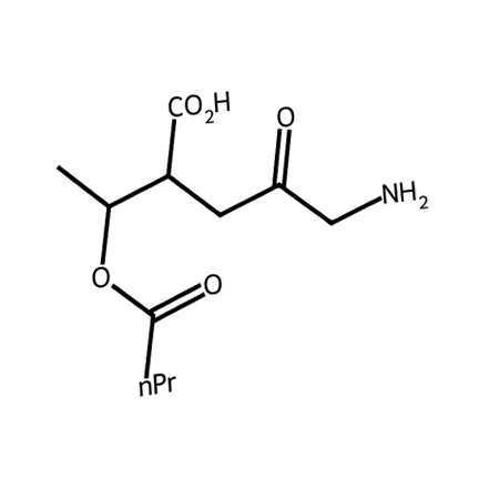 CCCC(=O)OC(C)C(CC(=O)CN)C(=O)O